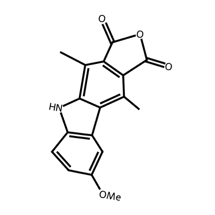 COc1ccc2[nH]c3c(C)c4c(c(C)c3c2c1)C(=O)OC4=O